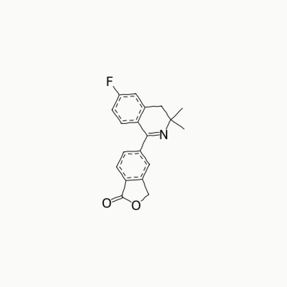 CC1(C)Cc2cc(F)ccc2C(c2ccc3c(c2)COC3=O)=N1